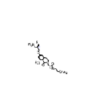 COCCNC(=O)CN1CCc2cc(OC/C(=C/F)CN)ccc2C1=O.Cl